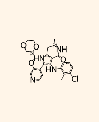 Cc1c(Cl)cccc1Nc1c(-c2ccncc2OC[C@@H]2COCCO2)[nH]c2c1C(=O)N[C@H](C)C2